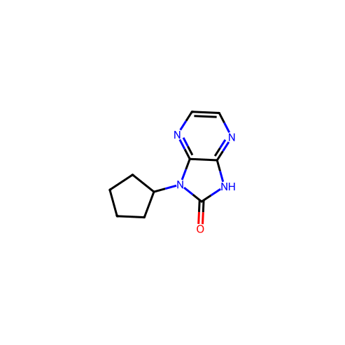 O=c1[nH]c2nccnc2n1C1CCCC1